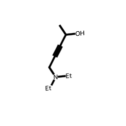 CCN(CC)CC#CC(C)O